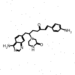 Nc1ccc(C=CC(=O)CCC(Cc2ccc3c(N)ncnc3c2)N2CCNC(=O)C2)cc1